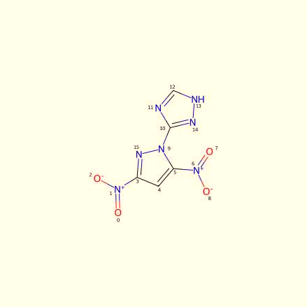 O=[N+]([O-])c1cc([N+](=O)[O-])n(-c2nc[nH]n2)n1